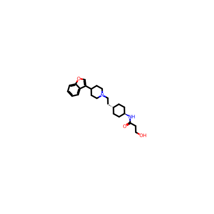 O=C(CCO)N[C@H]1CC[C@H](CCN2CCC(c3coc4ccccc34)CC2)CC1